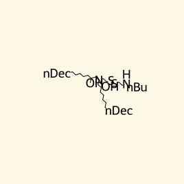 CCCCCCCCCCCCCCCC(O)CN(CCSSCCNCCCC)CC(O)CCCCCCCCCCCCCCC